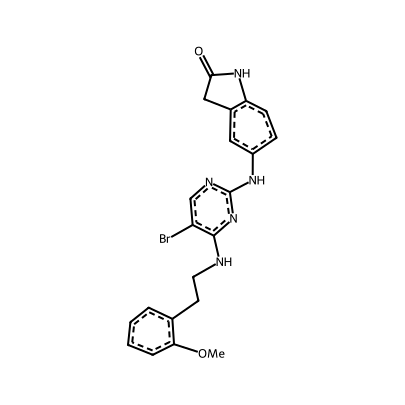 COc1ccccc1CCNc1nc(Nc2ccc3c(c2)CC(=O)N3)ncc1Br